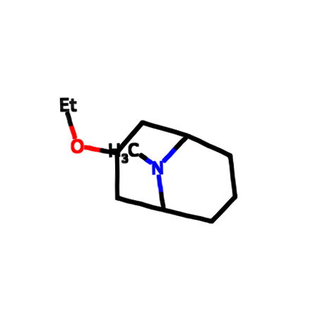 CCOC1CC2CCCC(C1)N2C